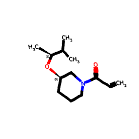 C=CC(=O)N1CCC[C@@H](O[C@@H](C)C(C)C)C1